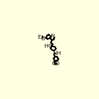 CCOc1ccc2nccc(CCC3(O)CCC(NCc4ccc5c(c4)OCO5)CC3)c2c1